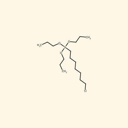 CCCO[Si](CCCCCCCCl)(OCCC)OCCC